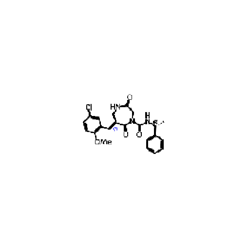 COc1ccc(Cl)cc1/C=C1\CNC(=O)CN(C(=O)N[C@H](C)c2ccccc2)C1=O